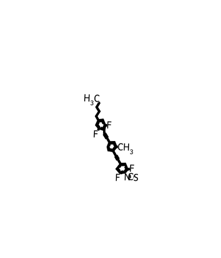 CCCCCc1cc(F)c(C#Cc2ccc(C#Cc3cc(F)c(N=C=S)c(F)c3)c(C)c2)c(F)c1